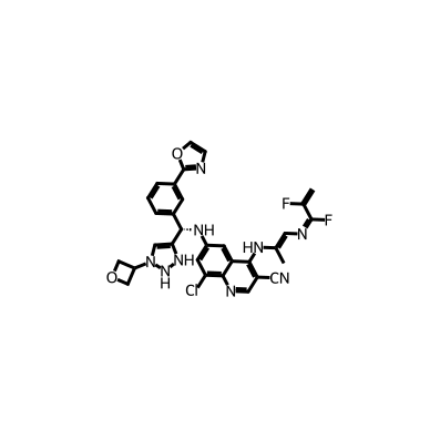 C=C(F)/C(F)=N\C=C(/C)Nc1c(C#N)cnc2c(Cl)cc(N[C@H](C3=CN(C4COC4)NN3)c3cccc(-c4ncco4)c3)cc12